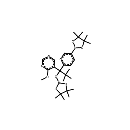 COc1ncncc1C(OB1OC(C)(C)C(C)(C)O1)(c1ccc(B2OC(C)(C)C(C)(C)O2)cn1)C(C)(C)C